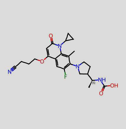 Cc1c(N2CCC([C@H](C)NC(=O)O)C2)c(F)cc2c(OCCCC#N)cc(=O)n(C3CC3)c12